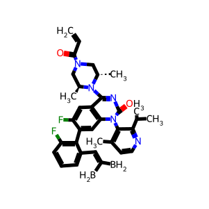 BC(B)=Cc1cccc(F)c1-c1cc2c(cc1F)c(N1[C@@H](C)CN(C(=O)C=C)C[C@@H]1C)nc(=O)n2-c1c(C)ccnc1C(C)C